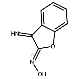 N=C1/C(=N/O)Oc2ccccc21